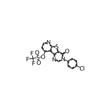 O=c1c2sc3nccc(OS(=O)(=O)C(F)(F)F)c3c2ncn1-c1ccc(Cl)cc1